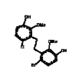 CCc1ccc(O)c(OC)c1CCc1c(CC)ccc(O)c1OC